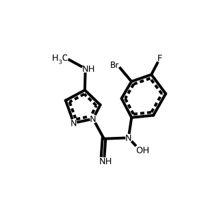 CNc1cnn(C(=N)N(O)c2ccc(F)c(Br)c2)c1